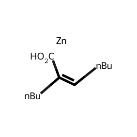 CCCCC=C(CCCC)C(=O)O.[Zn]